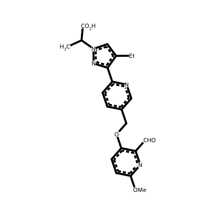 CCc1cn(C(C)C(=O)O)nc1-c1ccc(COc2ccc(OC)nc2C=O)cn1